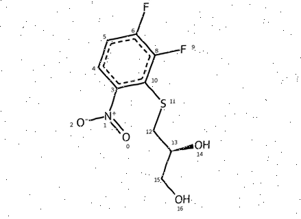 O=[N+]([O-])c1ccc(F)c(F)c1SC[C@@H](O)CO